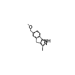 COCc1ccc2c(c1)Cc1c(I)n[nH]c1-2